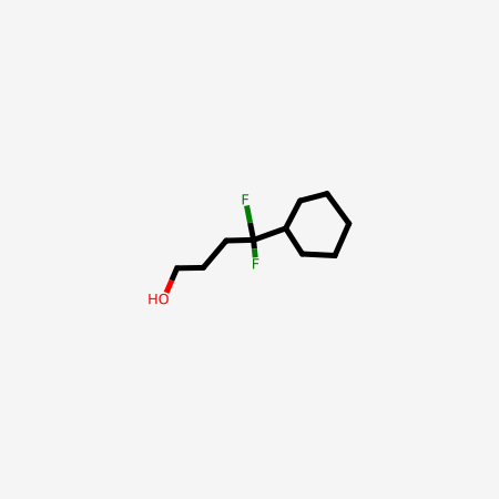 OCCCC(F)(F)C1CCCCC1